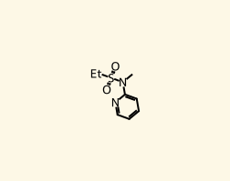 CCS(=O)(=O)N(C)c1ccccn1